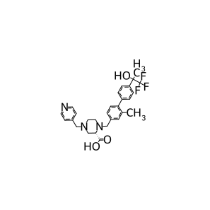 Cc1cc(CN2CCN(Cc3ccncc3)C[C@H]2C(=O)O)ccc1-c1ccc(C(C)(O)C(F)(F)F)cc1